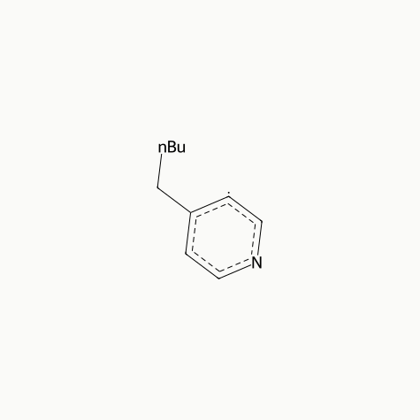 CCCCCc1[c]cncc1